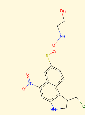 O=[N+]([O-])c1cc2c(c3ccc(SOONCCO)cc13)C(CCl)CN2